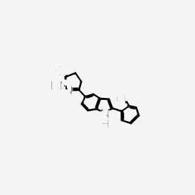 O=C1CCC(c2ccc3[nH]c(-c4ccccc4Cl)cc3c2)=NN1